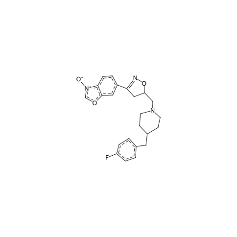 [O-][n+]1coc2cc(C3=NOC(CN4CCC(Cc5ccc(F)cc5)CC4)C3)ccc21